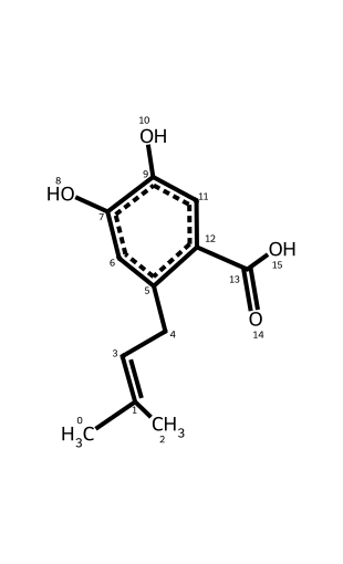 CC(C)=CCc1cc(O)c(O)cc1C(=O)O